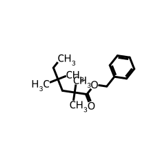 CCC(C)(C)CC(C)(C)C(=O)OCc1ccccc1